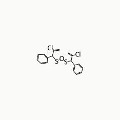 C=C(Cl)C(SOSC(C(=C)Cl)c1ccccc1)c1ccccc1